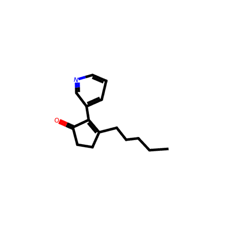 CCCCCC1=C(c2cccnc2)C(=O)CC1